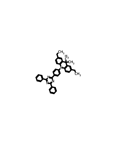 CCc1ccc2c(c1)C(C)(C)c1cc(CC)ccc1N2c1ccc(-c2nc(-c3ccccc3)nc(-c3ccccc3)n2)cc1